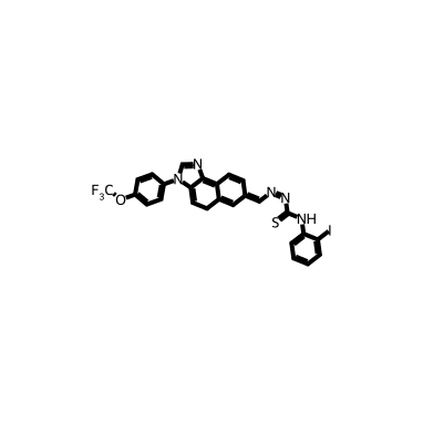 FC(F)(F)Oc1ccc(-n2cnc3c2=CCc2c/c(=C/N=N\C(=S)Nc4ccccc4I)ccc2=3)cc1